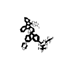 CC1(C)c2ccccc2-c2c1c1c(c3ccccc23)OC(c2ccc(-c3nc(C(F)(F)F)nc(C(F)(F)F)n3)cc2)(c2ccc(N3CCOCC3)cc2)C=C1